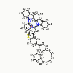 C=C1/C=C\C=C/Cc2ccc(-c3ccc4sc5cnc(-n6c7ccccc7c7ccc8c9ccccc9n(-c9ccccc9)c8c76)cc5c4c3)cc2-c2ccccc21